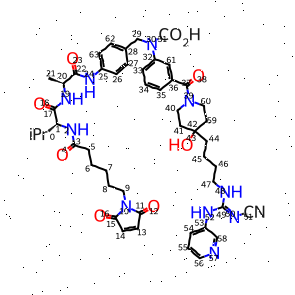 CC(C)[C@H](NC(=O)CCCCCN1C(=O)C=CC1=O)C(=O)N[C@@H](C)C(=O)Nc1ccc(CN(C(=O)O)c2cccc(C(=O)N3CCC(O)(CCCCN/C(=N\C#N)Nc4cccnc4)CC3)c2)cc1